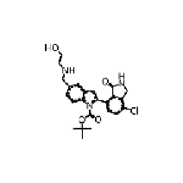 CC(C)(C)OC(=O)n1c(-c2ccc(Cl)c3c2C(=O)NC3)cc2cc(CNCCO)ccc21